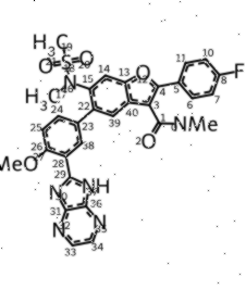 CNC(=O)c1c(-c2ccc(F)cc2)oc2cc(N(C)S(C)(=O)=O)c(-c3ccc(OC)c(-c4nc5nccnc5[nH]4)c3)cc12